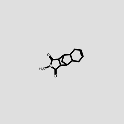 CN1C(=O)C2C3CC(C4CC=CCC43)C2C1=O